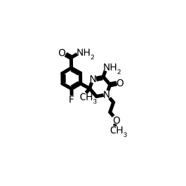 COCCN1CC(C)(c2cc(C(N)=O)ccc2F)N=C(N)C1=O